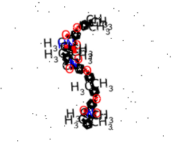 CCCC(CC)(NC(=O)c1ccc(Oc2ccc(C(C)(C)C)cc2)cc1C=O)C(CC)(CC)c1c(C)cc(C)c(N2C(=O)c3ccc(Oc4ccc(C(C)(C)c5ccc(Oc6ccc7c(c6)C(=O)N(C(CC)(CC)c6c(C)cccc6C)C7=O)cc5)cc4)cc3C2=O)c1C